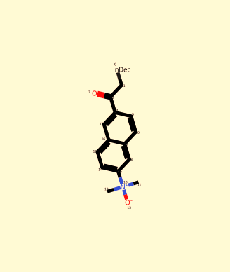 CCCCCCCCCCCC(=O)c1ccc2cc([N+](C)(C)[O-])ccc2c1